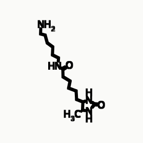 C[C@@H]1NC(=O)NC1CCCCCC(=O)NCCCCCCN